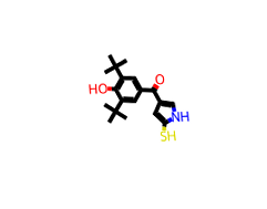 CC(C)(C)c1cc(C(=O)c2c[nH]c(S)c2)cc(C(C)(C)C)c1O